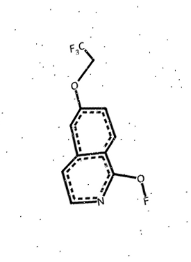 FOc1nccc2cc(OCC(F)(F)F)ccc12